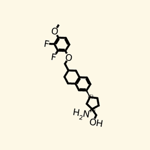 COc1ccc(OCC2CCc3cc([C@H]4CC[C@](N)(CO)C4)ccc3C2)c(F)c1F